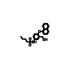 CCCCS(=O)(=O)Nc1ccc(Oc2cccc3ccccc23)c(CO)c1